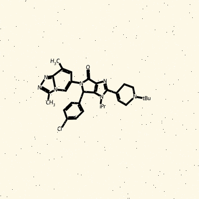 Cc1cc(N2C(=O)c3nc(C4=CCN(C(C)(C)C)CC4)n(C(C)C)c3C2c2ccc(Cl)cc2)cn2c(C)nnc12